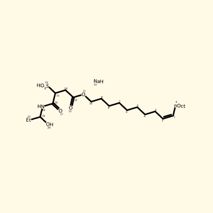 CCCCCCCC/C=C\CCCCCCCCOC(=O)CC(C(=O)NC(O)CC)S(=O)(=O)O.[NaH]